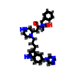 C[N+](O)(Cc1ccccc1)C(=O)CC1CNCCN1CCCc1c[nH]c2ccc(-n3cnnc3)cc12